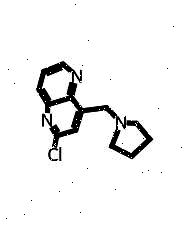 Clc1cc(CN2CCCC2)c2ncccc2n1